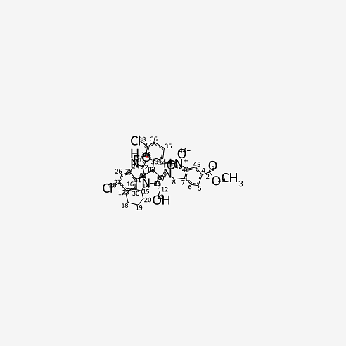 COC(=O)c1ccc(CN[C@@H]2[C@H](CO)N(C3CCCCC3)[C@@]3(C(=O)Nc4cc(Cl)ccc43)[C@H]2c2cccc(Cl)c2F)c([N+](=O)[O-])c1